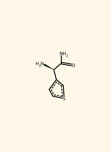 NC(=O)[C@H](N)c1ccsc1